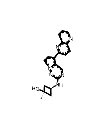 C[C@]1(O)C[C@@H](Nc2ncc3c(-c4ccc5ncccc5n4)ccn3n2)C1